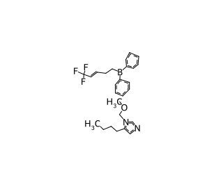 CCCCc1cncn1COC.FC(F)(F)C=CCCB(c1ccccc1)c1ccccc1